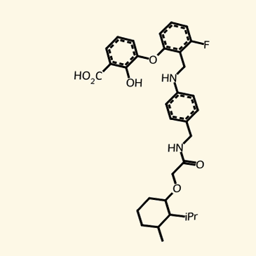 CC(C)C1C(C)CCCC1OCC(=O)NCc1ccc(NCc2c(F)cccc2Oc2cccc(C(=O)O)c2O)cc1